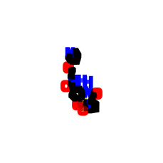 O=C(NCCOc1cccnc1)c1ccc2c(c1)NC(=O)c1cccn1S2(=O)=O